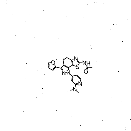 CC(=O)Nc1nc2c(s1)-c1c(c(-c3ccco3)nn1-c1ccnc(N(C)C)c1)CC2